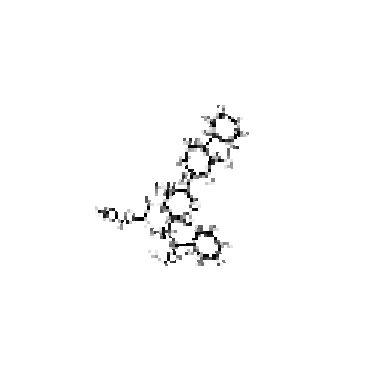 C[C@@H](NC(=O)[C@H](CCC(=O)O)NC(=O)c1ccc2c(c1)Cc1ccccc1-2)c1ccccc1